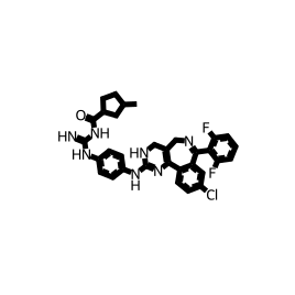 CC1CCC(C(=O)NC(=N)Nc2ccc(NC3=NC4=C(CN=C(c5c(F)cccc5F)c5cc(Cl)ccc54)CN3)cc2)C1